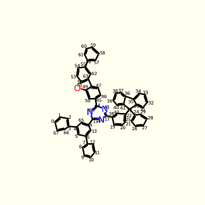 c1ccc(-c2cc(-c3ccccc3)cc(-c3nc(-c4cccc(C5(c6ccccc6)c6ccccc6-c6ccccc65)c4)nc(-c4ccc5c(c4)oc4ccc(-c6ccccc6)cc45)n3)c2)cc1